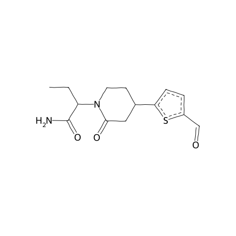 CCC(C(N)=O)N1CCC(c2ccc(C=O)s2)CC1=O